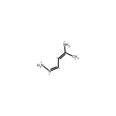 C/C(N)=C\C=N/N